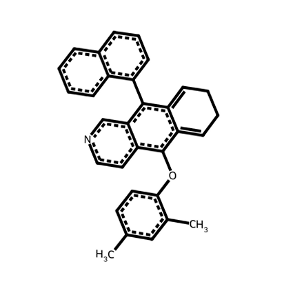 Cc1ccc(Oc2c3c(c(-c4cccc5ccccc45)c4cnccc24)=CCCC=3)c(C)c1